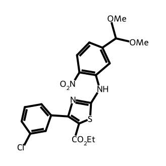 CCOC(=O)c1sc(Nc2cc(C(OC)OC)ccc2[N+](=O)[O-])nc1-c1cccc(Cl)c1